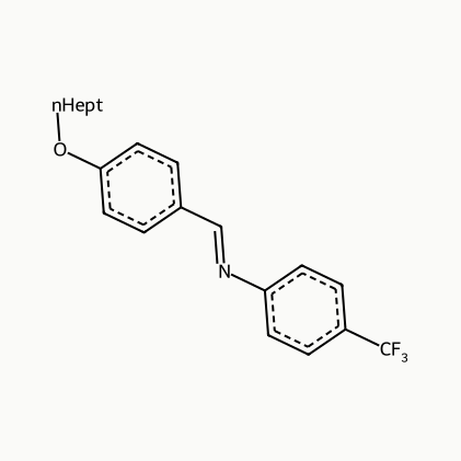 CCCCCCCOc1ccc(C=Nc2ccc(C(F)(F)F)cc2)cc1